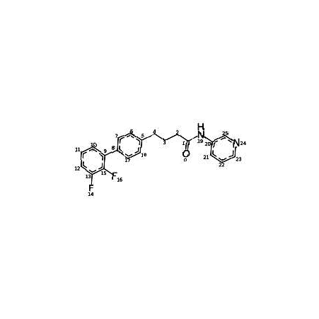 O=C(CCCc1ccc(-c2cccc(F)c2F)cc1)Nc1cccnc1